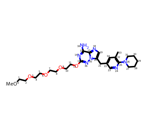 COCCOCCOCCOCCOc1nc(N)c2ncc(Cc3cnc(N4CCCCC4)c(C)c3)n2n1